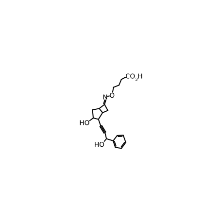 O=C(O)CCCON=C1CC2C1CC(O)C2C#CC(O)c1ccccc1